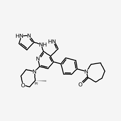 C[C@@H]1COCCN1c1cc(-c2ccc(N3CCCCCC3=O)cc2)c(C=N)c(Nc2cc[nH]n2)n1